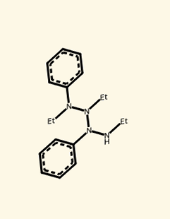 CCNN(c1ccccc1)N(CC)N(CC)c1ccccc1